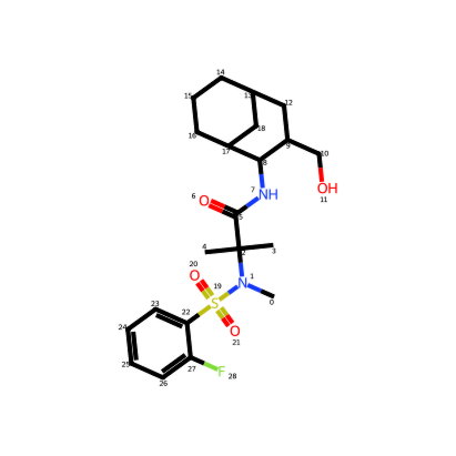 CN(C(C)(C)C(=O)NC1C(CO)CC2CCCC1C2)S(=O)(=O)c1ccccc1F